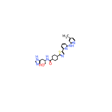 Cc1ccnc(Nc2cccc(-c3cnc(C4CCC(C(=O)N[C@@H](CO)Cc5cnc[nH]5)CC4)s3)n2)c1